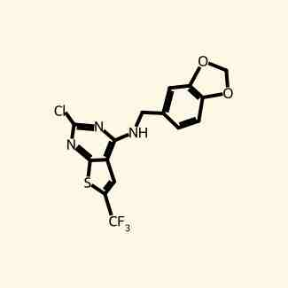 FC(F)(F)c1cc2c(NCc3ccc4c(c3)OCO4)nc(Cl)nc2s1